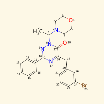 CC(N1CCOCC1)n1nc(-c2ccccc2)nc(Cc2cccc(Br)c2)c1=O